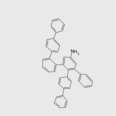 Nc1cc(-c2ccccc2)c(-c2ccc(-c3ccccc3)cc2)c(-c2ccccc2-c2ccc(-c3ccccc3)cc2)c1